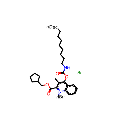 CCCCCCCCCCCCCCCCCCNC(=O)Oc1c(C)c(C(=O)OCC2CCCC2)[n+](CCCC)c2ccccc12.[Br-]